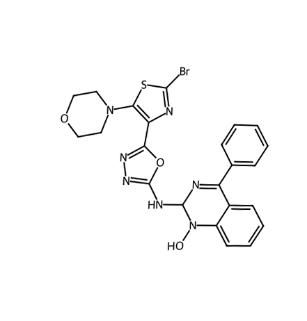 ON1c2ccccc2C(c2ccccc2)=NC1Nc1nnc(-c2nc(Br)sc2N2CCOCC2)o1